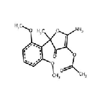 COc1cccc(OC)c1C1(C)OC(N)=C(OC(C)=O)C1=O